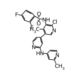 Cc1cc(Nc2cc(-c3cnc(Cl)c(NS(=O)(=O)c4ccc(F)cc4F)c3C)ccn2)ccn1